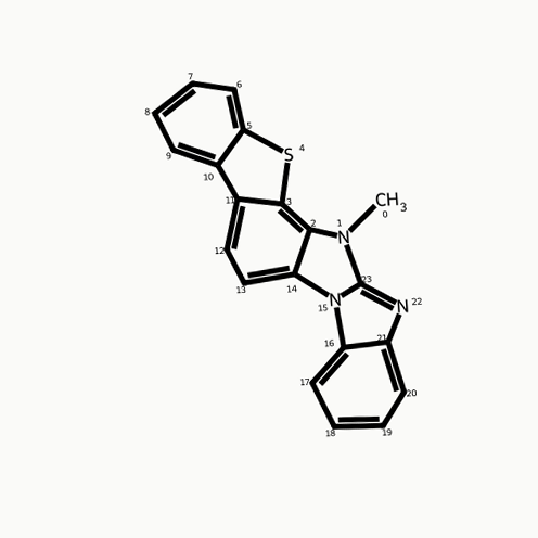 Cn1c2c3sc4ccccc4c3ccc2n2c3ccccc3nc12